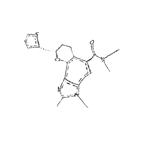 Cc1nc2c3c(c(C(=O)N(C)C)cc2n1C)CC[C@@H](c1cccs1)O3